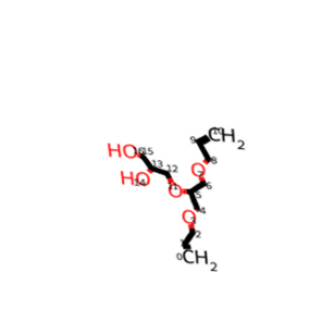 C=CCOCC(COCC=C)OCC(O)CO